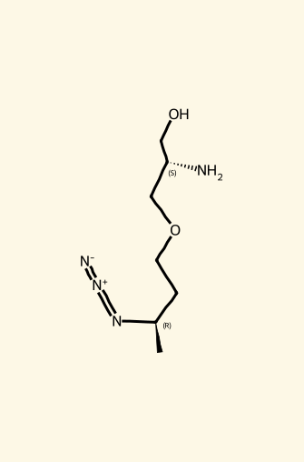 C[C@H](CCOC[C@@H](N)CO)N=[N+]=[N-]